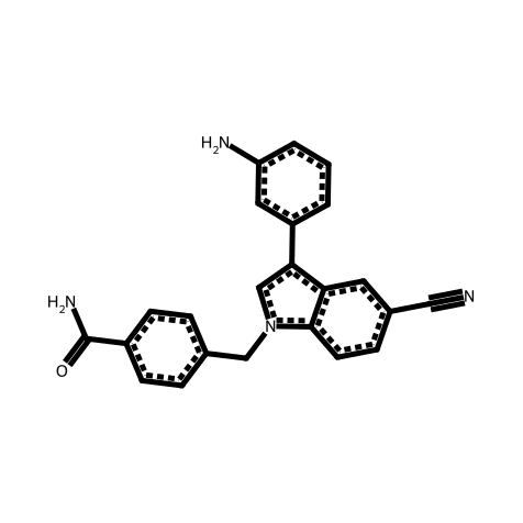 N#Cc1ccc2c(c1)c(-c1cccc(N)c1)cn2Cc1ccc(C(N)=O)cc1